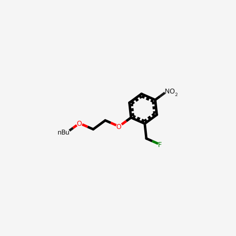 CCCCOCCOc1ccc([N+](=O)[O-])cc1CF